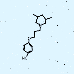 CC1CC(C)CN(CCCOc2ccc(C#N)cc2)C1